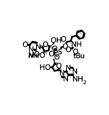 CO[C@@H]1C(OP(=O)(OC[C@H]2O[C@@H](n3cnc4c(N)ncnc43)CC2O)SCOC(=O)C(Cc2ccccc2)NC(=O)OC(C)(C)C)[C@@H](CO)O[C@H]1n1ccc(=O)[nH]c1=O